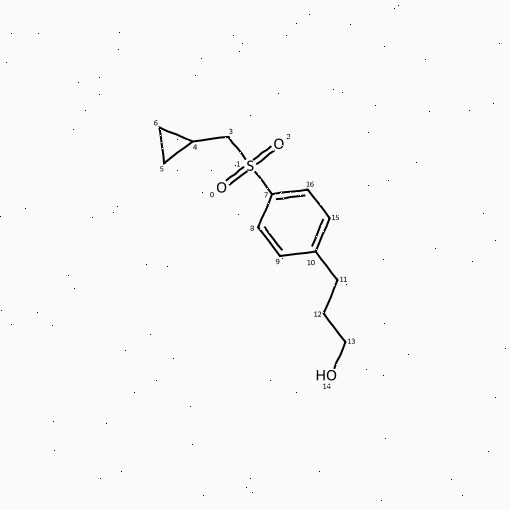 O=S(=O)(CC1CC1)c1ccc(CCCO)cc1